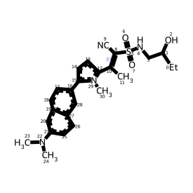 CCC(O)CNS(=O)(=O)/C(C#N)=C(\C)c1ccc(-c2ccc3cc(N(C)C)ccc3c2)n1C